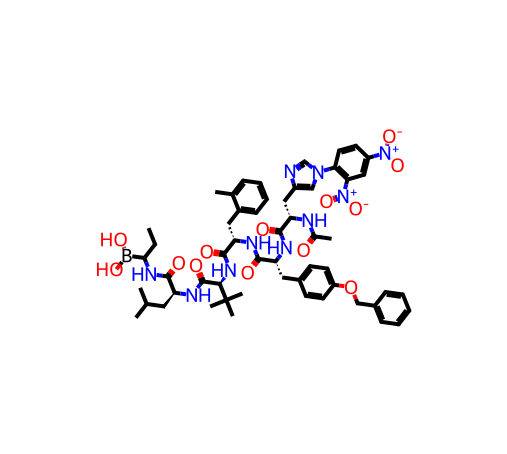 CCC(NC(=O)[C@H](CC(C)C)NC(=O)[C@@H](NC(=O)[C@H](Cc1ccccc1C)NC(=O)[C@@H](Cc1ccc(OCc2ccccc2)cc1)NC(=O)[C@H](Cc1cn(-c2ccc([N+](=O)[O-])cc2[N+](=O)[O-])cn1)NC(C)=O)C(C)(C)C)B(O)O